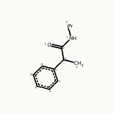 CC(C)NC(=O)C(C)c1ccccc1